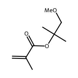 C=C(C)C(=O)OC(C)(C)COC